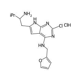 CC(C)C(N)Cc1cc2c(NCc3ccco3)nc(Cl)nc2[nH]1.Cl